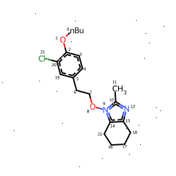 CCCCOc1ccc(CCOn2c(C)nc3c2CCCC3)cc1Cl